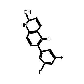 OC1C=Cc2c(ccc(-c3cc(F)cc(F)c3)c2Cl)N1